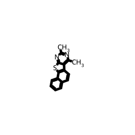 Cc1nc(C)c2c(n1)sc1c3ccccc3ccc12